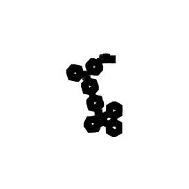 CC(C)(C)c1ccc(N(c2ccccc2)c2ccc(-c3ccc(-n4c5ccccc5c5c6c(c7ccccc7c54)CCC=C6)cc3)cc2)cc1